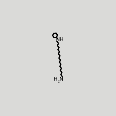 NCCCCCCCCCCCCCCCCCCNC1CCCCC1